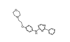 c1ccc(-c2nccc(Nc3ccc(OCCN4CCOCC4)cc3)n2)cc1